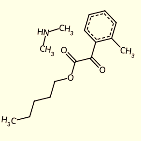 CCCCCOC(=O)C(=O)c1ccccc1C.CNC